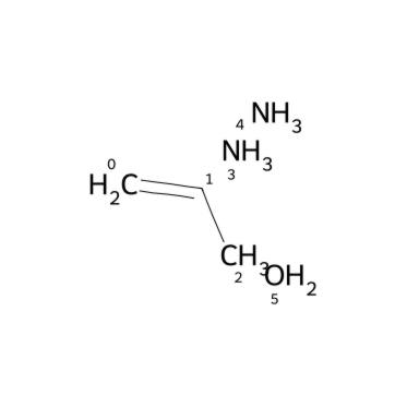 C=CC.N.N.O